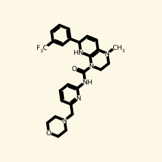 CN1CCN(C(=O)Nc2cccc(CN3CCOCC3)n2)C2=C1C=CC(c1cccc(C(F)(F)F)c1)N2